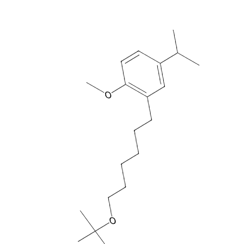 COc1ccc(C(C)C)cc1CCCCCCOC(C)(C)C